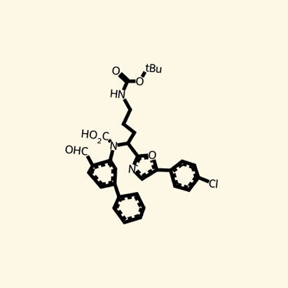 CC(C)(C)OC(=O)NCCCC(c1ncc(-c2ccc(Cl)cc2)o1)N(C(=O)O)c1cc(-c2ccccc2)ccc1C=O